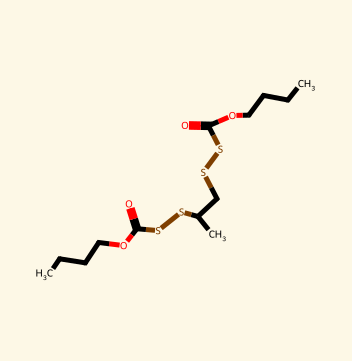 CCCCOC(=O)SSCC(C)SSC(=O)OCCCC